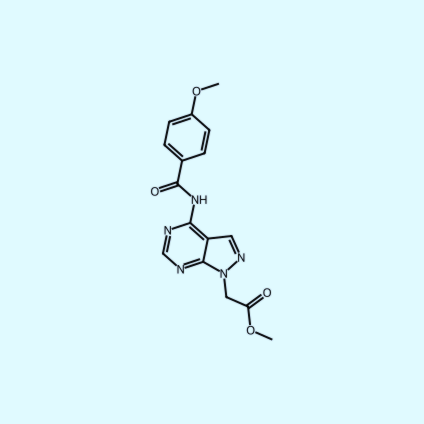 COC(=O)Cn1ncc2c(NC(=O)c3ccc(OC)cc3)ncnc21